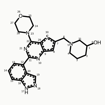 OC1CCCN(Cc2cc3nc(-c4cccc5[nH]ncc45)nc(N4CCOCC4)c3s2)C1